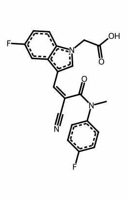 CN(C(=O)C(C#N)=Cc1cn(CC(=O)O)c2ccc(F)cc12)c1ccc(F)cc1